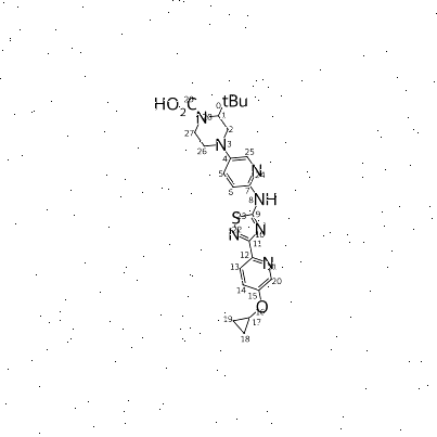 CC(C)(C)C1CN(c2ccc(Nc3nc(-c4ccc(OC5CC5)cn4)ns3)nc2)CCN1C(=O)O